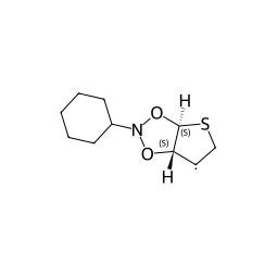 [CH]1CS[C@@H]2ON(C3CCCCC3)O[C@@H]12